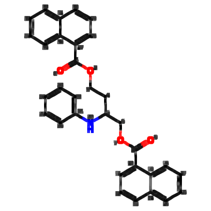 O=C(OCCC(COC(=O)c1cccc2ccccc12)Nc1ccccc1)c1cccc2ccccc12